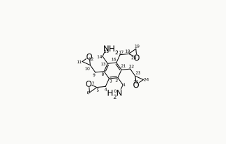 NCc1c(CC2CO2)c(CC2CO2)c(CN)c(CC2CO2)c1CC1CO1